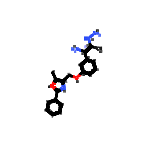 Cc1oc(-c2ccccc2)nc1COc1cccc(/C(N)=C(\C#N)NN)c1